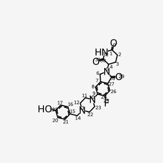 O=C1CCC(N2Cc3cc(N4CCN(Cc5ccc(O)cc5)CC4)c(F)cc3C2=O)C(=O)N1